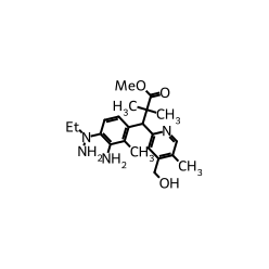 CCN(N)c1ccc(C(c2cc(CO)c(C)cn2)C(C)(C)C(=O)OC)c(C)c1N